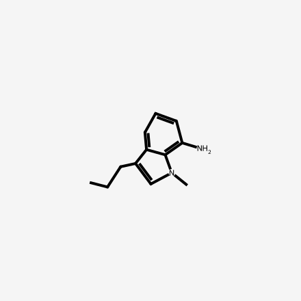 CCCc1cn(C)c2c(N)cccc12